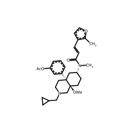 CO[C@]12CC[C@@H](N(C)C(=O)/C=C/c3ccoc3C)C[C@]1(c1cccc(OC(C)=O)c1)CCN(CC1CC1)C2